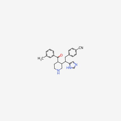 Cc1cccc(C(=O)C2CCNCC2C(Cc2ccc(C#N)cc2)c2cnc[nH]2)c1